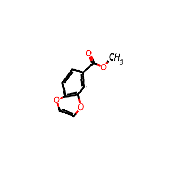 COC(=O)c1[c]c2c(cc1)OC=CO2